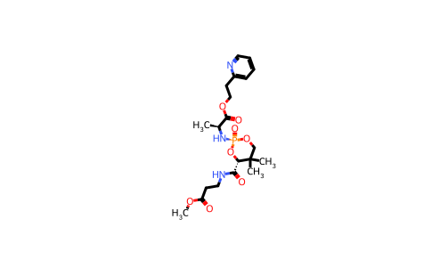 COC(=O)CCNC(=O)[C@@H]1O[P@@](=O)(N[C@@H](C)C(=O)OCCc2ccccn2)OCC1(C)C